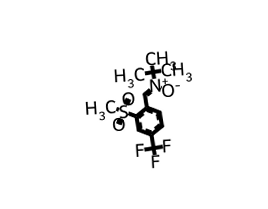 CC(C)(C)[N+]([O-])=Cc1ccc(C(F)(F)F)cc1S(C)(=O)=O